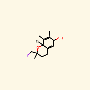 CCC12OC(C)(CI)CCC1=CC(O)C(C)=C2C